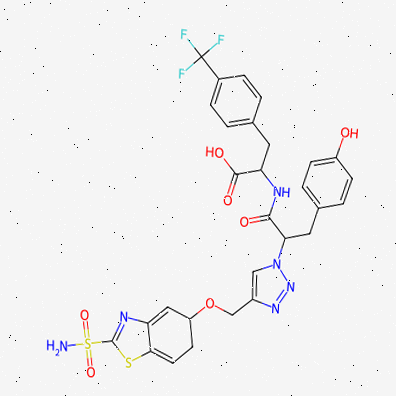 NS(=O)(=O)c1nc2c(s1)=CCC(OCc1cn(C(Cc3ccc(O)cc3)C(=O)NC(Cc3ccc(C(F)(F)F)cc3)C(=O)O)nn1)C=2